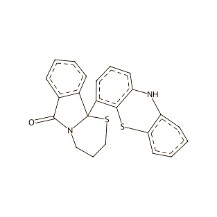 O=C1c2ccccc2C2(c3cccc4c3Sc3ccccc3N4)SCCCN12